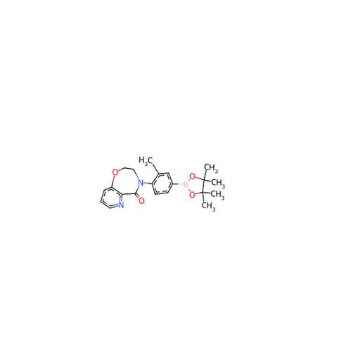 Cc1cc(B2OC(C)(C)C(C)(C)O2)ccc1N1CCOc2cccnc2C1=O